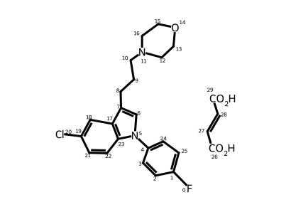 Fc1ccc(-n2cc(CCCN3CCOCC3)c3cc(Cl)ccc32)cc1.O=C(O)C=CC(=O)O